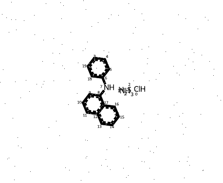 Cl.N.S.c1ccc(Nc2cccc3ccccc23)cc1